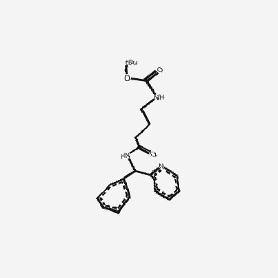 CC(C)(C)OC(=O)NCCCC(=O)NC(c1ccccc1)c1ccccn1